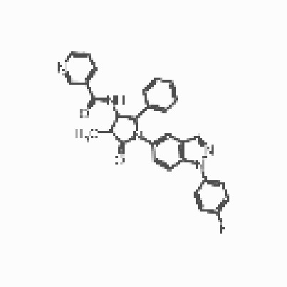 CC1C(=O)N(c2ccc3c(cnn3-c3ccc(F)cc3)c2)C(c2ccccc2)C1NC(=O)c1cccnc1